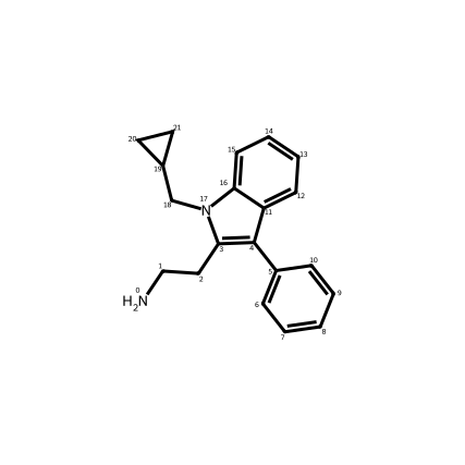 NCCc1c(-c2ccccc2)c2ccccc2n1CC1CC1